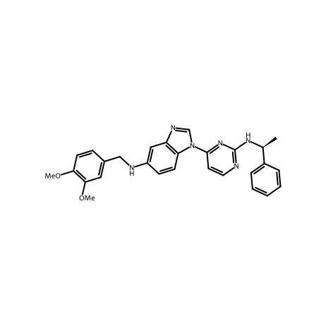 COc1ccc(CNc2ccc3c(c2)ncn3-c2ccnc(N[C@@H](C)c3ccccc3)n2)cc1OC